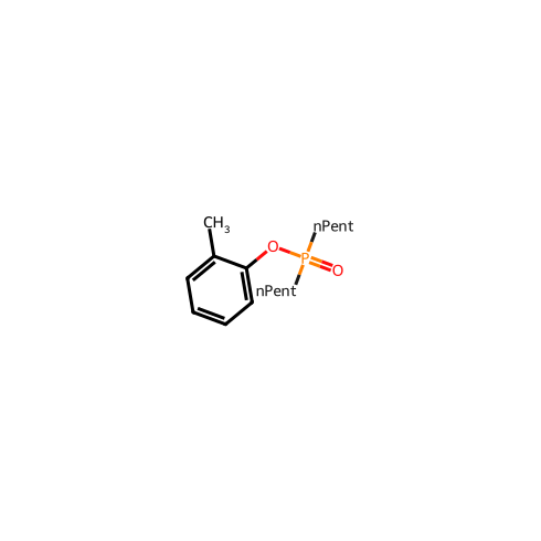 CCCCCP(=O)(CCCCC)Oc1ccccc1C